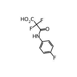 O=C(O)C(F)(F)C(=O)Nc1ccc(F)cc1